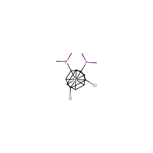 CP(C)[C]12[CH]3[C]4(Cl)[C]5(Cl)[C]1(P(C)C)[Fe]34251678[CH]2[CH]1[CH]6[CH]7[CH]28